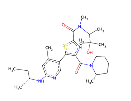 CC[C@@H](C)Nc1cc(C)c(-c2sc(C(=O)N(C)C(C)C(C)(C)O)nc2C(=O)N2CCCC[C@@H]2C)cn1